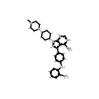 CN1CCN([C@H]2CC[C@@H](n3nc(-c4ccc(Oc5ccccc5[N+](=O)[O-])cc4)c4c(N)ncnc43)CC2)CC1